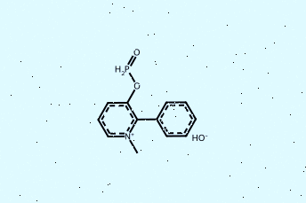 C[n+]1cccc(O[PH2]=O)c1-c1ccccc1.[OH-]